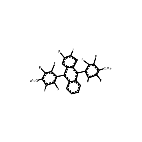 COc1c(F)c(F)c(-c2c3ccccc3c(-c3c(F)c(F)c(OC)c(F)c3F)c3cc(F)c(F)cc23)c(F)c1F